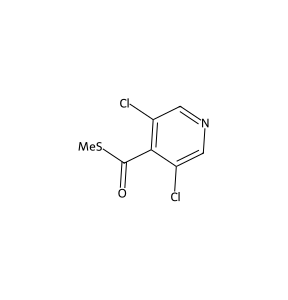 CSC(=O)c1c(Cl)cncc1Cl